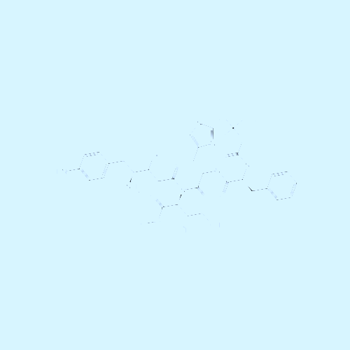 CC[C@H](C)[C@@H](C(=O)OC)N(C(=O)CC(O)[C@@H](N)Cc1ccc(N)cc1)C(=O)[C@H](Cc1c[nH]cn1)NC(=O)[C@H](Cc1ccccc1)NC(=O)OC(C)(C)C